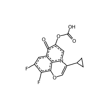 O=C(O)Oc1cn2c3c(c(F)c(F)cc3c1=O)OC=C2C1CC1